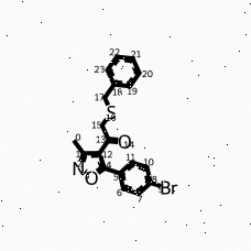 Cc1noc(-c2ccc(Br)cc2)c1C(=O)CSCc1ccccc1